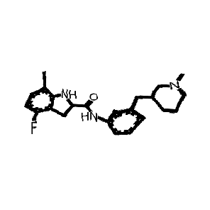 Cc1ccc(F)c2c1NC(C(=O)Nc1cccc(CC3CCCN(C)C3)c1)C2